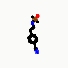 CS(C)(=O)=NCCc1ccc(C#N)cc1